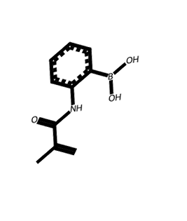 C=C(C)C(=O)Nc1ccccc1B(O)O